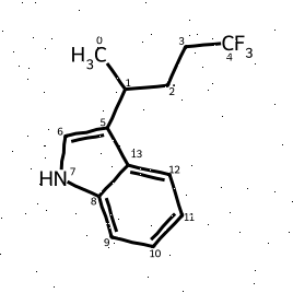 CC([CH]CC(F)(F)F)c1c[nH]c2ccccc12